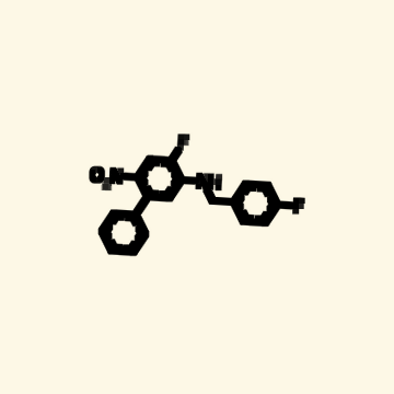 O=[N+]([O-])c1cc(F)c(NCc2ccc(F)cc2)cc1-c1ccccc1